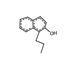 CCCc1c(O)ccc2ccccc12